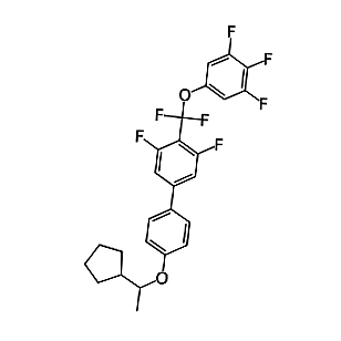 CC(Oc1ccc(-c2cc(F)c(C(F)(F)Oc3cc(F)c(F)c(F)c3)c(F)c2)cc1)C1CCCC1